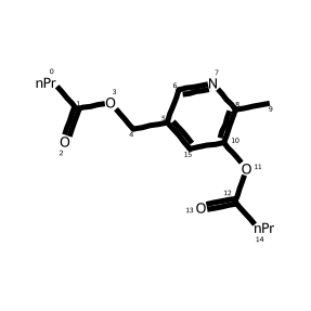 CCCC(=O)OCc1cnc(C)c(OC(=O)CCC)c1